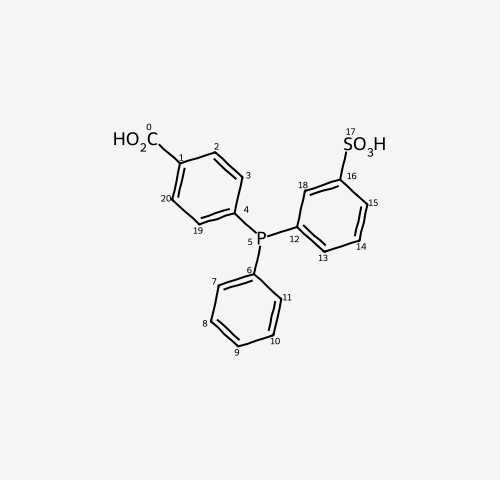 O=C(O)c1ccc(P(c2ccccc2)c2cccc(S(=O)(=O)O)c2)cc1